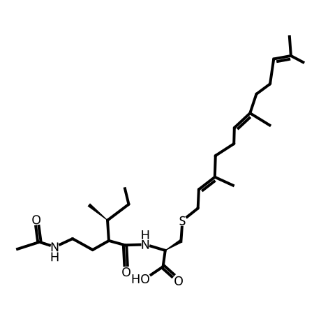 CC[C@H](C)C(CCNC(C)=O)C(=O)N[C@@H](CSC/C=C(\C)CC/C=C(\C)CCC=C(C)C)C(=O)O